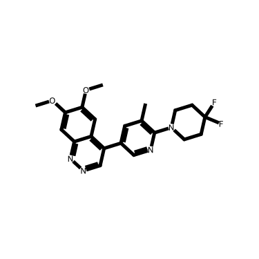 COc1cc2nncc(-c3cnc(N4CCC(F)(F)CC4)c(C)c3)c2cc1OC